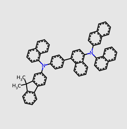 CC1(C)c2ccccc2-c2ccc(N(c3ccc(-c4ccc(N(c5ccc6ccccc6c5)c5cccc6ccccc56)c5ccccc45)cc3)c3cccc4ccccc34)cc21